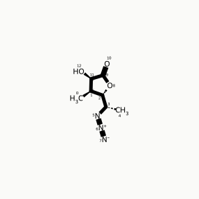 C[C@@H]1[C@@H]([C@H](C)N=[N+]=[N-])OC(=O)[C@@H]1O